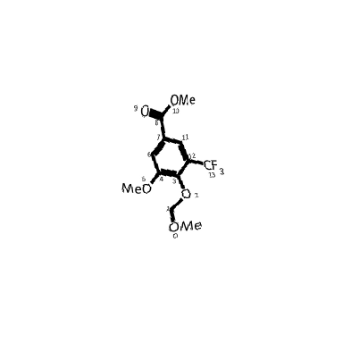 COCOc1c(OC)cc(C(=O)OC)cc1C(F)(F)F